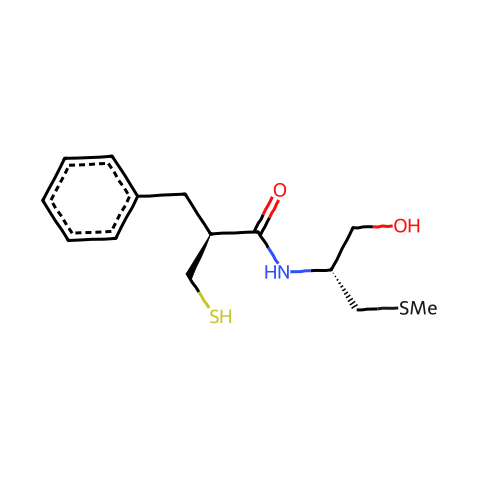 CSC[C@@H](CO)NC(=O)[C@@H](CS)Cc1ccccc1